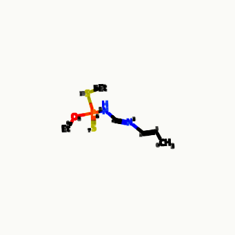 CC=CN=CNP(=S)(OCC)SCC